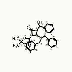 CC(c1ccccc1)N1C(=O)[C@H](C(=O)OC(C)(C)C)[C@@H]1N(Cc1ccccc1)Cc1ccccc1